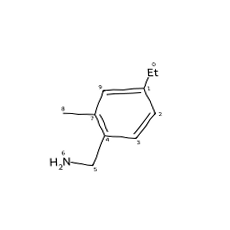 CCc1ccc(CN)c(C)c1